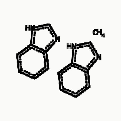 C.c1ccc2[nH]cnc2c1.c1ccc2[nH]cnc2c1